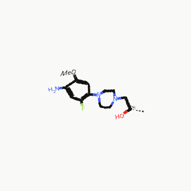 COc1cc(N2CCN(C[C@H](C)O)CC2)c(F)cc1N